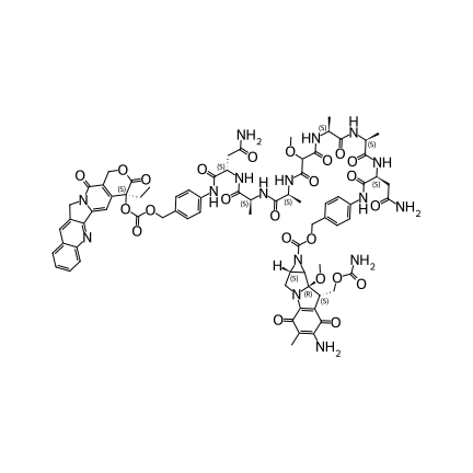 CC[C@@]1(OC(=O)OCc2ccc(NC(=O)[C@H](CC(N)=O)NC(=O)[C@H](C)NC(=O)[C@H](C)NC(=O)C(OC)C(=O)N[C@@H](C)C(=O)N[C@@H](C)C(=O)N[C@@H](CC(N)=O)C(=O)Nc3ccc(COC(=O)N4C5[C@@H]4CN4C6=C(C(=O)C(N)=C(C)C6=O)[C@@H](COC(N)=O)[C@@]54OC)cc3)cc2)C(=O)OCc2c1cc1n(c2=O)Cc2cc3ccccc3nc2-1